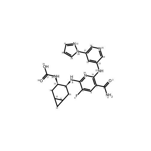 NC(=O)c1cc(F)c(N[C@H]2CC3CC3C[C@H]2NC(=O)O)nc1Nc1cncc(-n2cccn2)c1